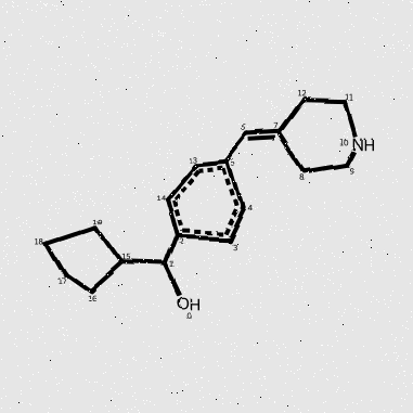 OC(c1ccc(C=C2CCNCC2)cc1)C1CCCC1